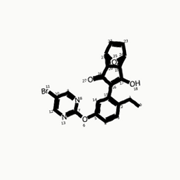 CCc1ccc(Oc2ncc(Br)cn2)cc1C1=C(O)c2c(c3ccc2o3)C1=O